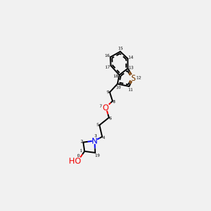 OC1CN(CCCOCCc2csc3ccccc23)C1